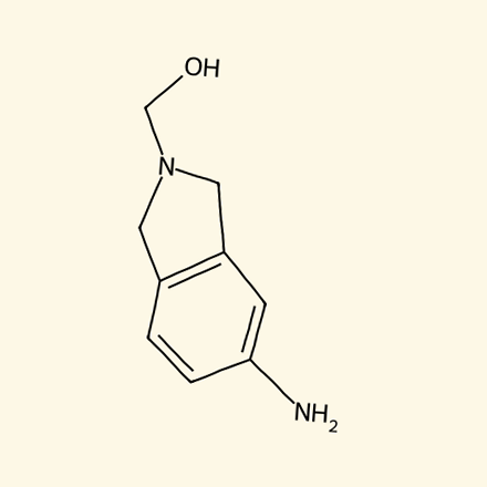 Nc1ccc2c(c1)CN(CO)C2